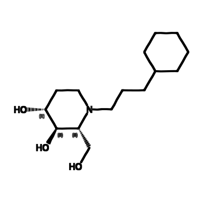 OC[C@@H]1[C@@H](O)[C@H](O)CCN1CCCC1CCCCC1